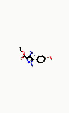 CCOC(=O)c1nn(C)c([C@H]2CC[C@@H](OC)CC2)c1N